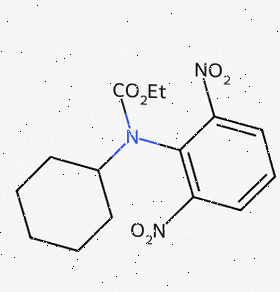 CCOC(=O)N(c1c([N+](=O)[O-])cccc1[N+](=O)[O-])C1CCCCC1